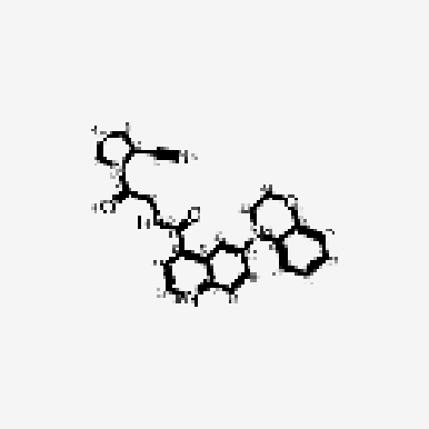 N#CC1CSCN1C(=O)CNC(=O)c1ccnc2ccc(N3CCOc4ccccc43)cc12